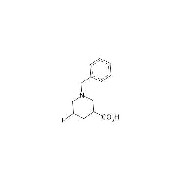 O=C(O)C1CC(F)CN(Cc2ccccc2)C1